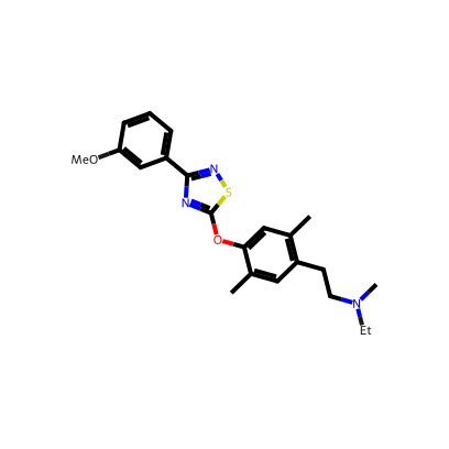 CCN(C)CCc1cc(C)c(Oc2nc(-c3cccc(OC)c3)ns2)cc1C